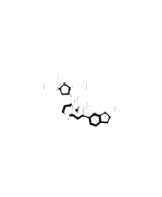 [CH2][C@@H]1C[C@@H](Nc2ccnc3cc(-c4ccc5c(c4)C(C)(C)CC5)nn23)[C@H](O)[C@@H]1O